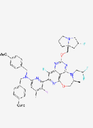 COc1ccc(CN(Cc2ccc(OC)cc2)c2cc(C)c(I)c(-c3nc4c5c(nc(OC[C@@]67CCCN6C[C@H](F)C7)nc5c3F)N(CC(F)F)[C@@H](C)CO4)n2)cc1